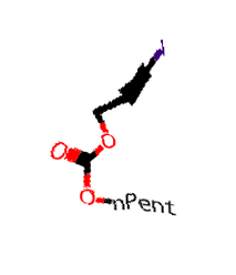 CCCCCOC(=O)OCC#CI